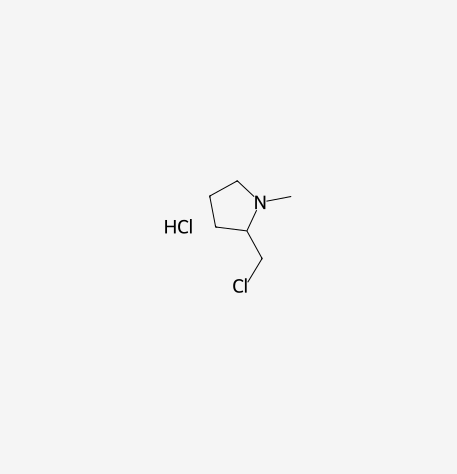 CN1CCCC1CCl.Cl